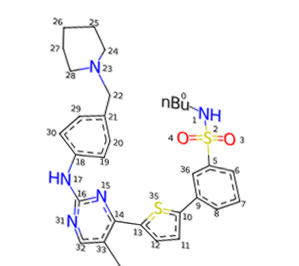 CCCCNS(=O)(=O)c1cccc(-c2ccc(-c3nc(Nc4ccc(CN5CCCCC5)cc4)ncc3C)s2)c1